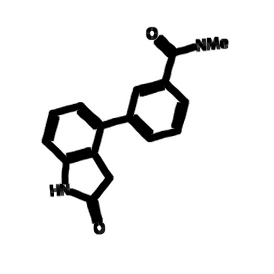 CNC(=O)c1cccc(-c2cccc3c2CC(=O)N3)c1